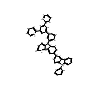 c1ccc(-n2c3ccccc3c3cc(-c4ccc5c(c4)c4ncccc4n5-c4cccc(-c5cc(-c6ccccn6)cc(-c6ccccn6)c5)c4)ccc32)cc1